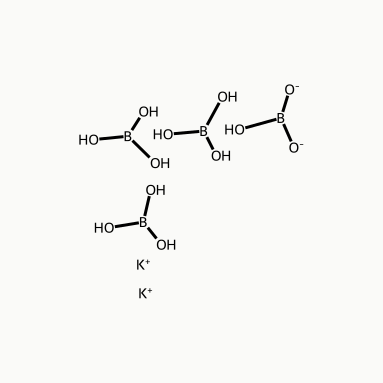 OB(O)O.OB(O)O.OB(O)O.[K+].[K+].[O-]B([O-])O